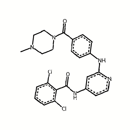 CN1CCN(C(=O)c2ccc(Nc3cc(NC(=O)c4c(Cl)cccc4Cl)ccn3)cc2)CC1